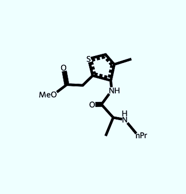 CCCNC(C)C(=O)Nc1c(C)csc1CC(=O)OC